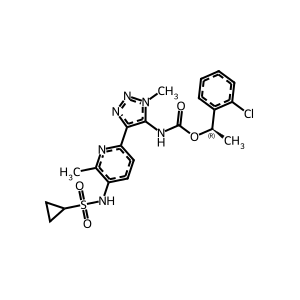 Cc1nc(-c2nnn(C)c2NC(=O)O[C@H](C)c2ccccc2Cl)ccc1NS(=O)(=O)C1CC1